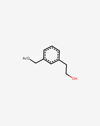 CC(=O)OCc1cccc(CCO)c1